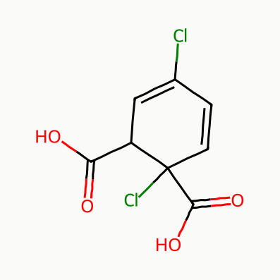 O=C(O)C1C=C(Cl)C=CC1(Cl)C(=O)O